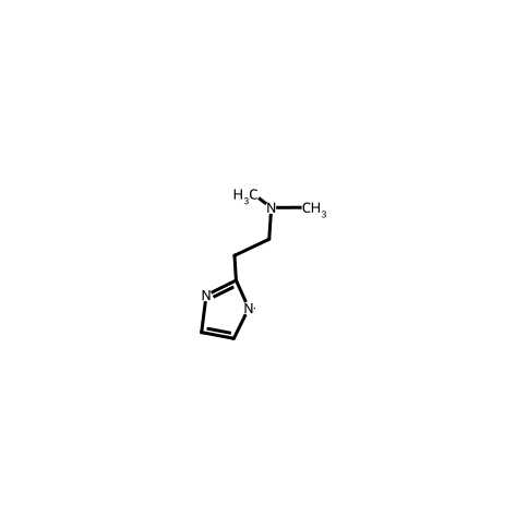 CN(C)CCC1=NC=C[N]1